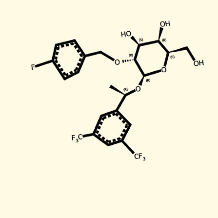 C[C@@H](O[C@@H]1O[C@H](CO)[C@H](O)[C@H](O)[C@H]1OCc1ccc(F)cc1)c1cc(C(F)(F)F)cc(C(F)(F)F)c1